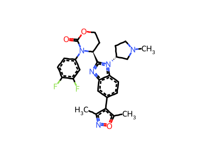 Cc1noc(C)c1-c1ccc2c(c1)nc([C@@H]1CCOC(=O)N1c1ccc(F)c(F)c1)n2[C@@H]1CCN(C)C1